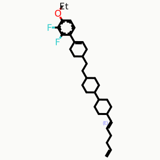 C=CCC/C=C/C1CCC(C2CCC(CCC3CC=C(c4ccc(OCC)c(F)c4F)CC3)CC2)CC1